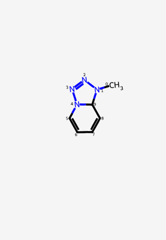 CN1N=NN2C=CC=CC12